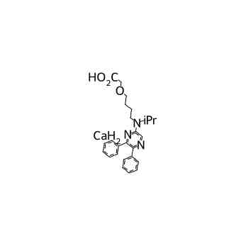 CC(C)N(CCCCOCC(=O)O)c1cnc(-c2ccccc2)c(-c2ccccc2)n1.[CaH2]